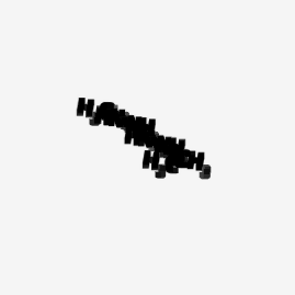 CCNCCNCCNCCNCCN(C)C